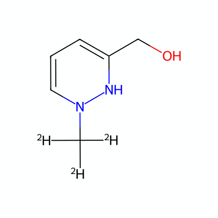 [2H]C([2H])([2H])N1C=CC=C(CO)N1